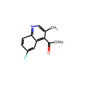 COC(=O)c1c(C)cnc2ccc(F)cc12